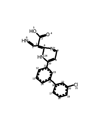 N=C/C(C(=O)O)=C1/N=CC=C(c2cccc(-c3cccc(Cl)c3)c2)N1